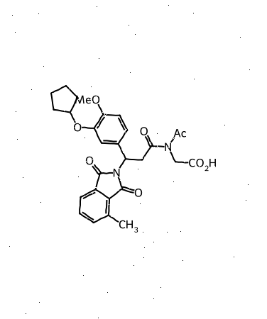 COc1ccc(C(CC(=O)N(CC(=O)O)C(C)=O)N2C(=O)c3cccc(C)c3C2=O)cc1OC1CCCC1